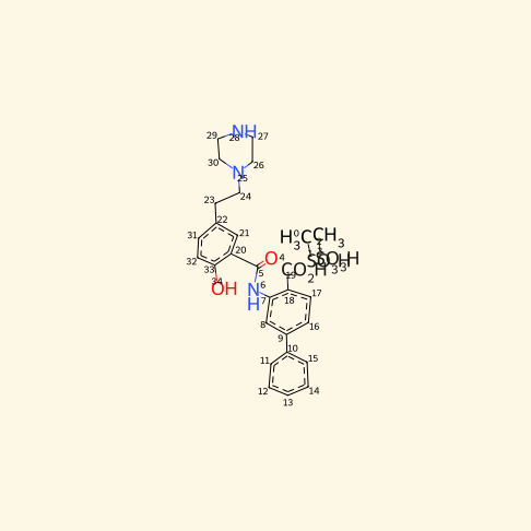 CS(=O)(=O)O.CS(=O)(=O)O.O=C(Nc1cc(-c2ccccc2)ccc1C(=O)O)c1cc(CCN2CCNCC2)ccc1O